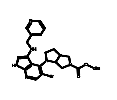 CC(C)(C)OC(=O)N1CC2CCN(c3c(Br)cnc4[nH]cc(NCc5cccnc5)c34)C2C1